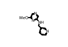 COc1cncc(NCc2cccnc2)n1